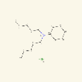 Br.CCCCCN(CCCCC)C1CCCCC1